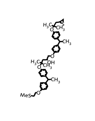 CSCCOc1ccc(C(C)c2ccc(OC(C)(C)CC(O)COc3ccc(C(C)c4ccc(OC(C)(C)CC5CS5)cc4)cc3)cc2)cc1